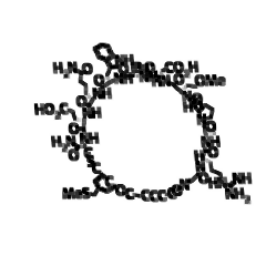 CC[C@H](C)[C@@H]1NC(=O)[C@H](CC(=O)O)NC(=O)[C@H](CCOC)NC(=O)[C@@H]2CCCN2C(=O)[C@H](C)NC(=O)[C@H](CCCNC(=N)N)NC(=O)/C=N/OCCCCCCOc2cc(CSC)cc(c2)CSC[C@@H](C(N)=O)NC(=O)[C@H](CCC(=O)O)NC(=O)[C@H](CCCC(N)=O)NC(=O)[C@H](Cc2c[nH]c3ccccc23)NC1=O